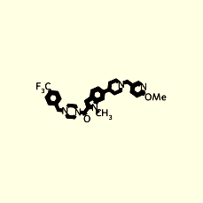 COc1ccc(CN2CCC(c3ccc4cc(C(=O)N5CCN(Cc6ccc(C(F)(F)F)cc6)CC5)n(C)c4c3)CC2)cn1